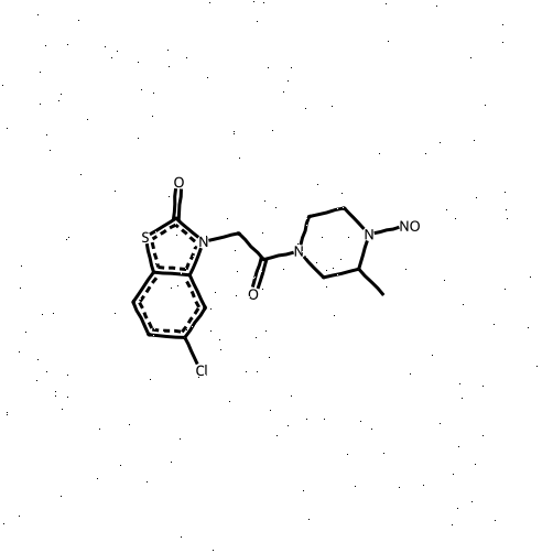 CC1CN(C(=O)Cn2c(=O)sc3ccc(Cl)cc32)CCN1N=O